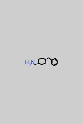 NC[C@H]1CC[C@@H](Cc2ccccc2)CC1